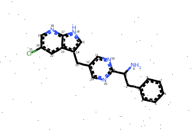 NC(Cc1ccccc1)c1ncc(Cc2c[nH]c3ncc(Cl)cc23)cn1